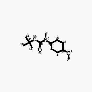 COC1CCC(N(C)C(=O)OC(C)(C)C)CC1